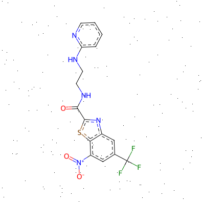 O=C(NCCNc1ccccn1)c1nc2cc(C(F)(F)F)cc([N+](=O)[O-])c2s1